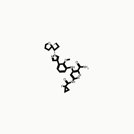 COc1c(Nc2cc(NC(=O)C3(F)CC3)nnc2C(N)=O)cccc1-c1cnn([C@H]2CC[C@@]23CCCO3)c1